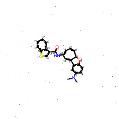 CN(C)c1ccc2c(c1)C1=CC(NC(=O)c3csc4ccccc34)=CC=CC1O2